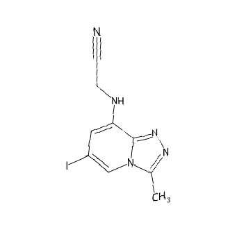 Cc1nnc2c(NCC#N)cc(I)cn12